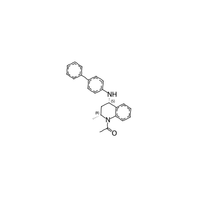 CC(=O)N1c2ccccc2[C@@H](Nc2ccc(-c3ccccc3)cc2)C[C@H]1C